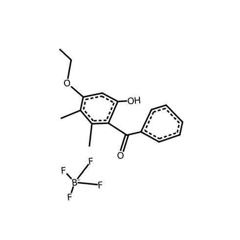 CCOc1cc(O)c(C(=O)c2ccccc2)c(C)c1C.F[B-](F)(F)F